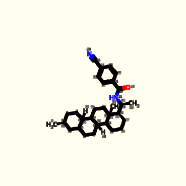 C[C@H]1CC[C@H]2C(CC[C@@H]3C2CC[C@@]2(C)C3CCC[C@@H]2[C@H](C)NC(=O)c2ccc(C#N)cc2)C1